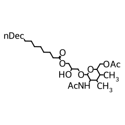 CCCCCCCCCCCCCCCCCC(=O)OCC(O)COC1OC(COC(C)=O)C(C)C(C)C1NC(C)=O